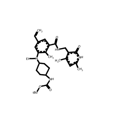 C=Cc1cc(C(=O)NCc2c(C)cc(C)[nH]c2=O)c(C)c(N(CC)C2CCC(NC(=O)OC(C)(C)C)CC2)c1